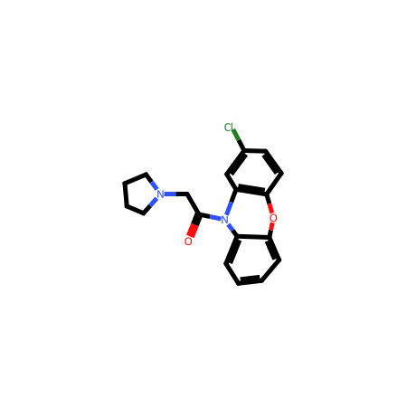 O=C(CN1CCCC1)N1c2ccccc2Oc2ccc(Cl)cc21